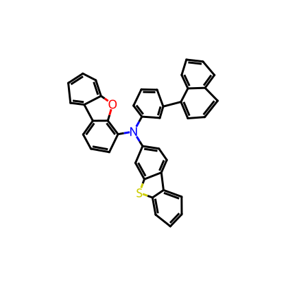 c1cc(-c2cccc3ccccc23)cc(N(c2ccc3c(c2)sc2ccccc23)c2cccc3c2oc2ccccc23)c1